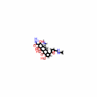 CN(C)[C@H]1C(O)=C(C(N)=O)C(=O)[C@]2(O)C(O)=C3C(=O)c4c(O)ccc(-c5ccc(CNC6CC6)o5)c4C[C@@H]3C[C@H]12